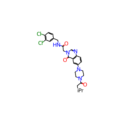 CC(C)CC(=O)N1CCN(c2ccc3ncn(CC(=O)NCc4ccc(Cl)c(Cl)c4)c(=O)c3c2)CC1